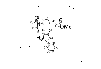 COC(=O)CCC/C=C\CN1C(=O)CC[C@@H]1CC[C@@H](O)[C@@H](C)CCc1ccccc1